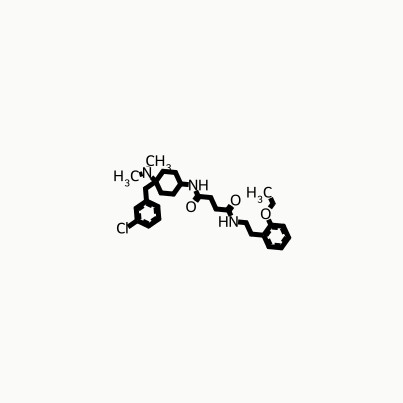 CCOc1ccccc1CCNC(=O)CCC(=O)NC1CCC(Cc2cccc(Cl)c2)(N(C)C)CC1